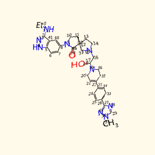 CCNc1n[nH]c2ccc(N3CC[C@]4(CCN(CC(O)N5CC=C(c6ccc(-c7ncn(C)n7)cc6)CC5)C4)C3=O)cc12